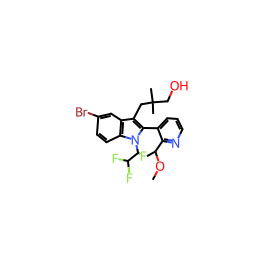 COC(C)c1ncccc1-c1c(CC(C)(C)CO)c2cc(Br)ccc2n1C(F)C(F)F